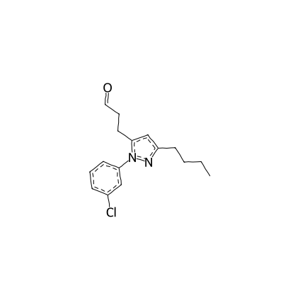 CCCCc1cc(CCC=O)n(-c2cccc(Cl)c2)n1